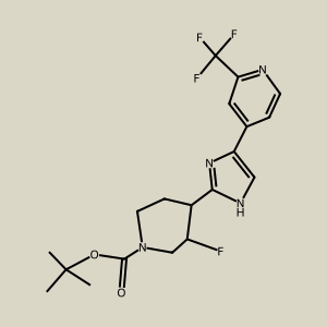 CC(C)(C)OC(=O)N1CCC(c2nc(-c3ccnc(C(F)(F)F)c3)c[nH]2)C(F)C1